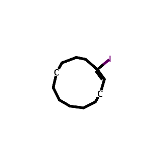 IC1=CCCCCCCCCCC1